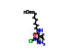 CCCCCCCCCCCCCCCCNC(=O)C1(/C(N)=N/Cl)CC1